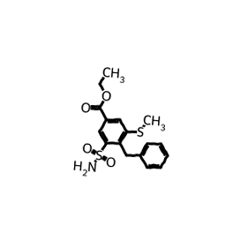 CCOC(=O)c1cc(SC)c(Cc2ccccc2)c(S(N)(=O)=O)c1